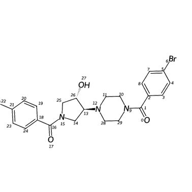 O=C(c1ccc(Br)cc1)N1CCN([C@H]2CN(C(=O)c3ccc(Cl)cc3)C[C@@H]2O)CC1